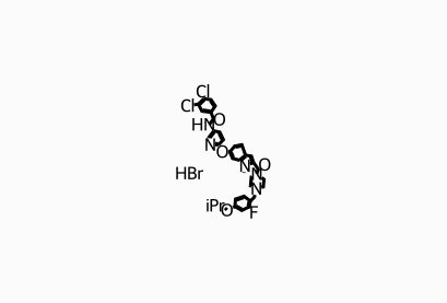 Br.CC(C)Oc1ccc(CN2CCN(C(=O)c3cc4ccc(Oc5ccc(NC(=O)c6ccc(Cl)c(Cl)c6)cn5)cc4n3C)CC2)c(F)c1